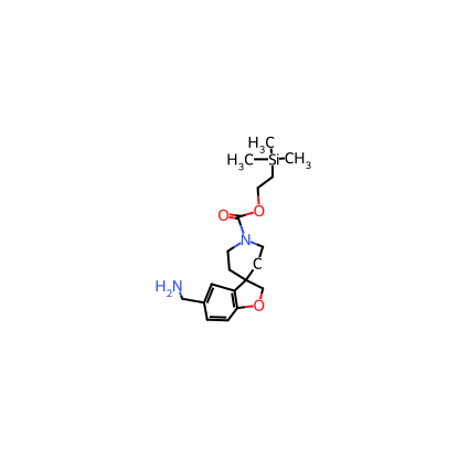 C[Si](C)(C)CCOC(=O)N1CCC2(CC1)COc1ccc(CN)cc12